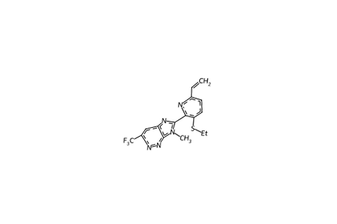 C=Cc1ccc(SCC)c(-c2nc3cc(C(F)(F)F)nnc3n2C)n1